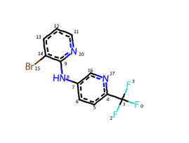 FC(F)(F)c1ccc(Nc2ncccc2Br)cn1